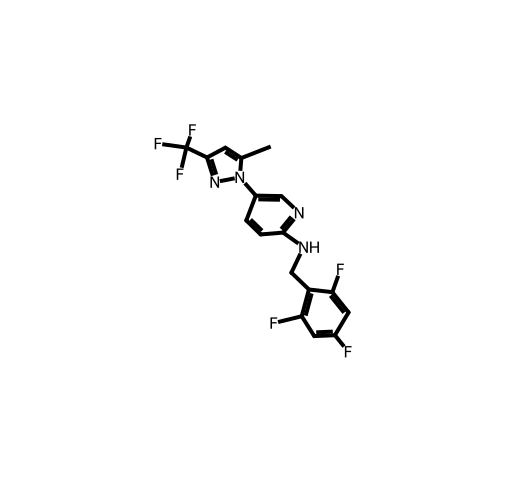 Cc1cc(C(F)(F)F)nn1-c1ccc(NCc2c(F)cc(F)cc2F)nc1